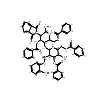 COC1OC(COC(=O)c2ccccc2)C(OC2OC(COC(=O)c3ccccc3)C(O)C(OC(=O)c3ccccc3)C2NOc2ccccc2C=O)C(OC(=O)c2ccccc2)C1N1C(=O)c2ccccc2C1=O